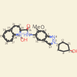 COc1cc2nn([C@H]3CC[C@H](O)CC3)cc2cc1NC(=O)c1ccc2ccccc2[n+]1O